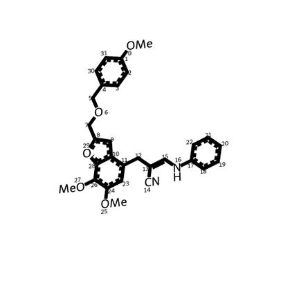 COc1ccc(COCc2cc3c(C/C(C#N)=C/Nc4ccccc4)cc(OC)c(OC)c3o2)cc1